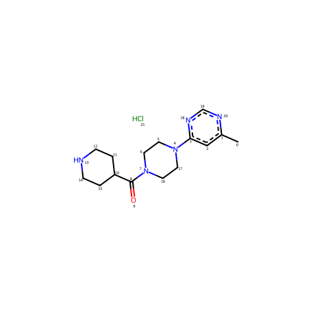 Cc1cc(N2CCN(C(=O)C3CCNCC3)CC2)ncn1.Cl